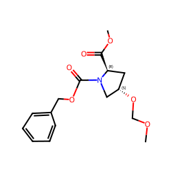 COCO[C@H]1C[C@H](C(=O)OC)N(C(=O)OCc2ccccc2)C1